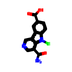 NC(=O)c1cncc2c3cc(C(=O)O)ccc3n(Cl)c12